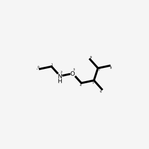 [CH2]CNOCC(C)C(C)C